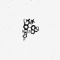 CC(=O)[C@@H](OC(C)(C)C)c1c(C)cc2nc(N3CC(F)C3)sc2c1-c1ccc2c3c(ccnc13)CCO2